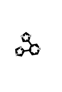 [c]1nccc(-c2cscn2)c1-c1cocn1